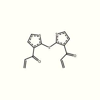 C=CC(=O)c1ccsc1Sc1sccc1C(=O)C=C